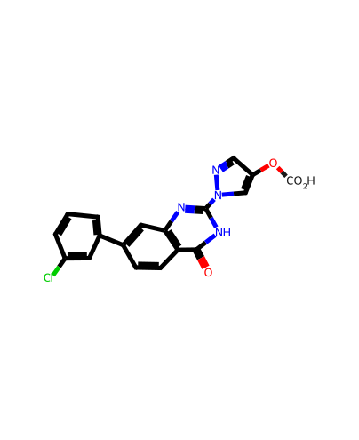 O=C(O)Oc1cnn(-c2nc3cc(-c4cccc(Cl)c4)ccc3c(=O)[nH]2)c1